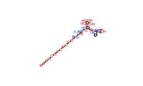 CCOCc1nc2c(NC(=O)OCc3ccc(O[C@H]4O[C@H](CO)[C@@H](O)[C@H](O)[C@@H]4O)c(NC(=O)CCNC(=O)[C@@H](N)CCCCNC(=O)CCOCCOCCOCCOCCOCCOCCOCCOCCOCCOCCOCCOC)c3)nc3ccccc3c2n1CC(C)(C)O